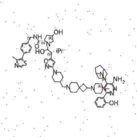 Cc1ncsc1-c1ccc([C@H](C)NC(=O)[C@@H]2C[C@@H](O)CN2C(O)[C@@H](c2cc(N3CCC(CN4CCC5(CC4)CC(N4CCN(C)[C@@H](CN6C7CCC6CN(c6cc(-c8ccccc8O)nnc6N)C7)C4)C5)CC3)no2)C(C)C)cc1